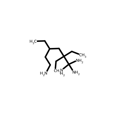 CCC(CCN)CC(CC)(CC)C(N)(N)N